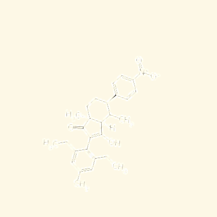 CCc1cc(C)cc(CC)c1C1=C(O)[C@@H]2C(C)[C@H](c3ccc([N+](=O)[O-])cc3)CC[C@]2(C)C1=O